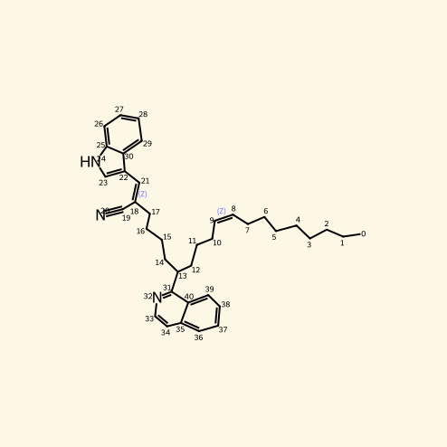 CCCCCCCC/C=C\CCCC(CCCC/C(C#N)=C/c1c[nH]c2ccccc12)c1nccc2ccccc12